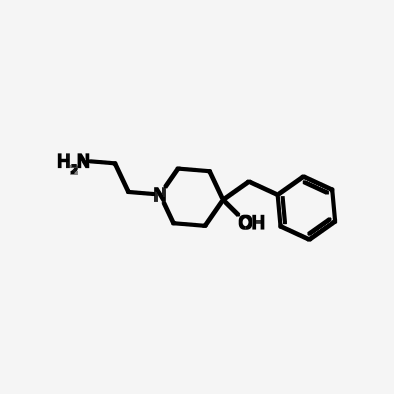 NCCN1CCC(O)(Cc2ccccc2)CC1